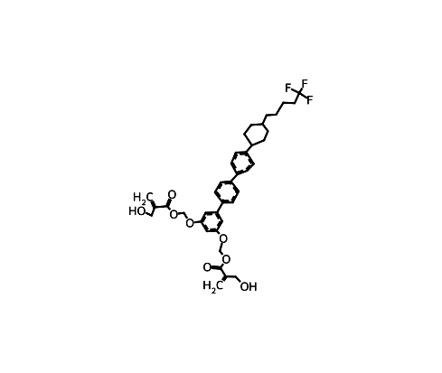 C=C(CO)C(=O)OCOc1cc(OCOC(=O)C(=C)CO)cc(-c2ccc(-c3ccc(C4CCC(CCCCC(F)(F)F)CC4)cc3)cc2)c1